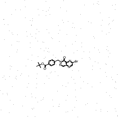 CC(C)(C)OC(=O)c1ccc(Cn2ncc3ncc(Br)nc3c2=O)cc1